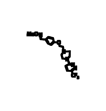 CON=Cc1ccc(OCCN2CCN(c3ccc(C(F)(F)F)nn3)CC2)cc1